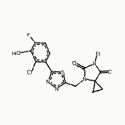 CCN1C(=O)N(Cc2nnc(-c3ccc(F)c(O)c3Cl)s2)C2(CC2)C1=O